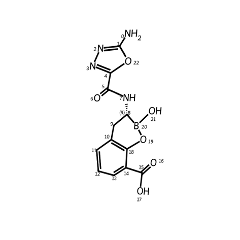 Nc1nnc(C(=O)N[C@H]2Cc3cccc(C(=O)O)c3OB2O)o1